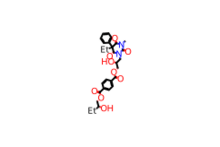 CCC(O)COC(=O)c1ccc(C(=O)OCC(O)CN2C(=O)N(C)C(=O)C(CC)(c3ccccc3)C2=O)cc1